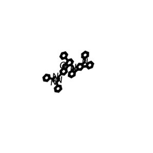 c1ccc(-c2nc(-c3ccccc3)nc(-c3ccc4c(c3)oc3c(-c5ccccc5)ccc(-n5c6ccccc6c6cc7c8ccccc8n(-c8ccccc8)c7cc65)c34)n2)cc1